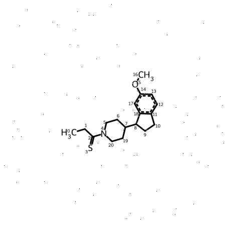 CCC(=S)N1CCC(C2CCc3ccc(OC)cc32)CC1